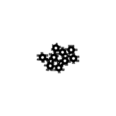 c1ccc(-c2cc(-n3c4ccccc4c4ccc([Si](c5ccccc5)(c5ccccc5)c5ccccc5)cc43)c3c4ccccc4n(-c4ccccc4)c3c2)cc1